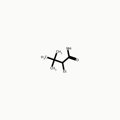 CCC(C([NH])=O)C(C)(C)C